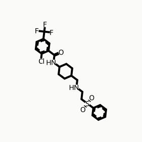 O=C(NC1CCC(CNCCS(=O)(=O)c2ccccc2)CC1)c1cc(C(F)(F)F)ccc1Cl